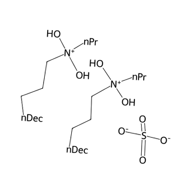 CCCCCCCCCCCCC[N+](O)(O)CCC.CCCCCCCCCCCCC[N+](O)(O)CCC.O=S(=O)([O-])[O-]